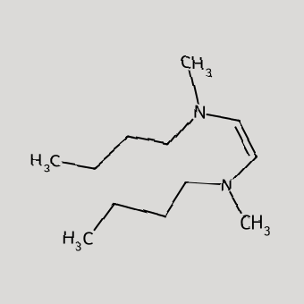 CCCCN(C)/C=C\N(C)CCCC